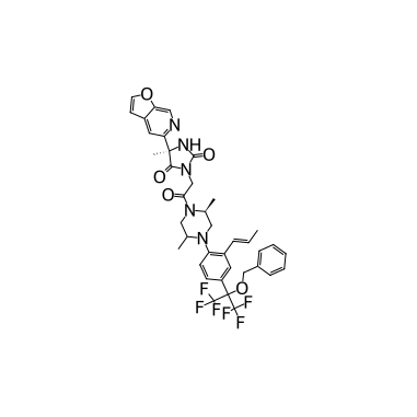 CC=Cc1cc(C(OCc2ccccc2)(C(F)(F)F)C(F)(F)F)ccc1N1C[C@H](C)N(C(=O)CN2C(=O)N[C@](C)(c3cc4ccoc4cn3)C2=O)CC1C